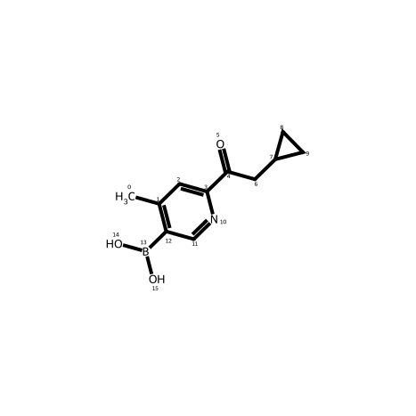 Cc1cc(C(=O)CC2CC2)ncc1B(O)O